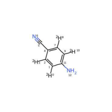 [2H]c1c([2H])c(C#N)c([2H])c([2H])c1N